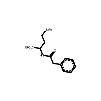 CCOC(=O)C(CCSC)NC(=O)Cc1ccccc1